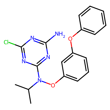 CC(C)N(Oc1cccc(Oc2ccccc2)c1)c1nc(N)nc(Cl)n1